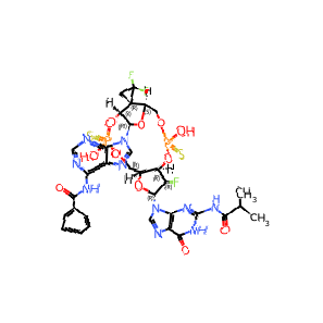 CC(C)C(=O)Nc1nc2c(ncn2[C@@H]2O[C@@H]3COP(O)(=S)O[C@H]4[C@H](n5cnc6c(NC(=O)c7ccccc7)ncnc65)O[C@H](COP(O)(=S)O[C@H]3[C@H]2F)[C@]42CC2(F)F)c(=O)[nH]1